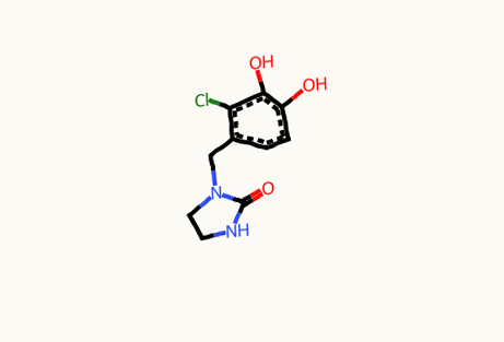 O=C1NCCN1Cc1ccc(O)c(O)c1Cl